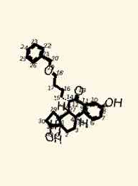 C[C@]12CC[C@@H]3c4ccc(O)cc4C(=O)[C@@H](CCCCOCc4ccccc4)[C@H]3[C@@H]1CC[C@@H]2O